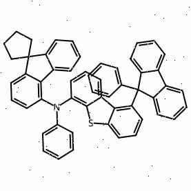 c1ccc(N(c2cccc3c2-c2ccccc2C32CCCC2)c2cccc3c2sc2cccc(C4(c5ccccc5)c5ccccc5-c5ccccc54)c23)cc1